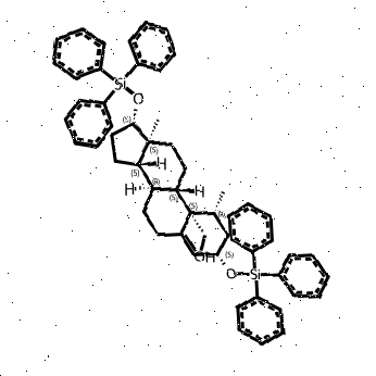 C[C@@H]1C[C@H](O[Si](c2ccccc2)(c2ccccc2)c2ccccc2)C=C2CC[C@H]3[C@@H]4CC[C@H](O[Si](c5ccccc5)(c5ccccc5)c5ccccc5)[C@@]4(C)CC[C@@H]3[C@]21CO